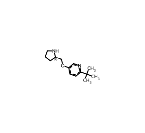 CC(C)(C)c1ccc(OC[C@H]2CCCN2)cn1